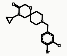 O=C1COC2(CCN(Cc3ccc(Br)c(Cl)c3)CC2)CN1C1CC1